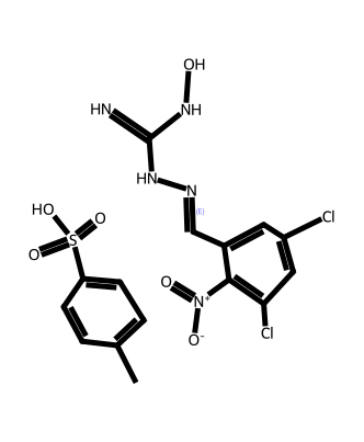 Cc1ccc(S(=O)(=O)O)cc1.N=C(NO)N/N=C/c1cc(Cl)cc(Cl)c1[N+](=O)[O-]